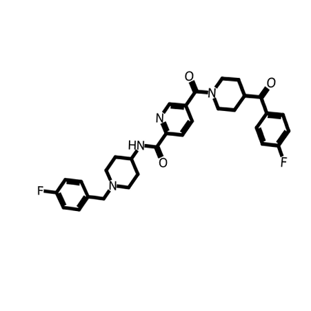 O=C(NC1CCN(Cc2ccc(F)cc2)CC1)c1ccc(C(=O)N2CCC(C(=O)c3ccc(F)cc3)CC2)cn1